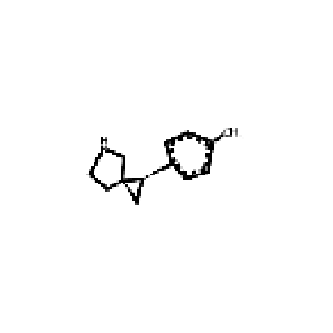 Cc1ccc([C@H]2C[C@]23CCNC3)cc1